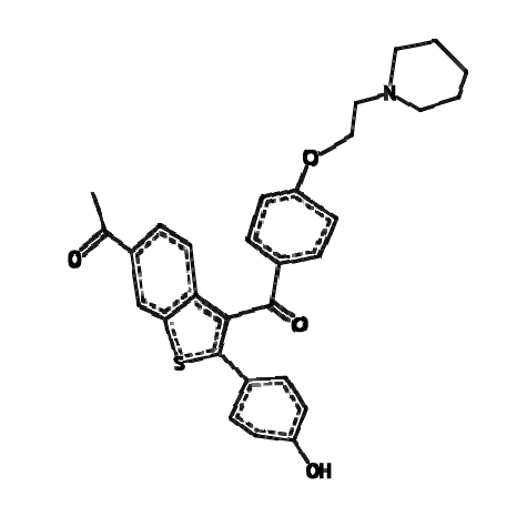 CC(=O)c1ccc2c(C(=O)c3ccc(OCCN4CCCCC4)cc3)c(-c3ccc(O)cc3)sc2c1